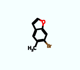 Cc1cc2ccoc2cc1Br